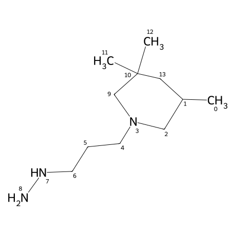 CC1CN(CCCNN)CC(C)(C)C1